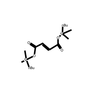 CCCC[Si](C)(C)OC(=O)/C=C/C(=O)O[Si](C)(C)CCCC